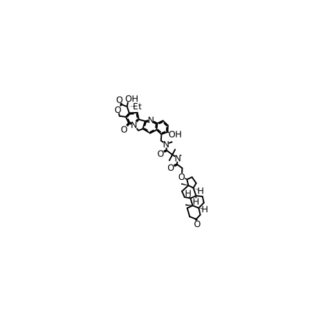 CC[C@@]1(O)C(=O)OCc2c1cc1n(c2=O)Cc2cc3c(CN(C)C(=O)C(C)(C)N(C)C(=O)CO[C@H]4CC[C@H]5[C@@H]6CC[C@H]7CC(=O)CC[C@]7(C)[C@H]6CC[C@]45C)c(O)ccc3nc2-1